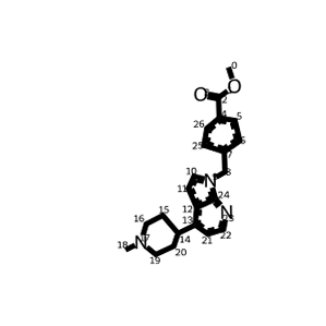 COC(=O)c1ccc(Cn2ccc3c(C4CCN(C)CC4)ccnc32)cc1